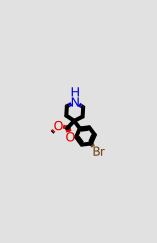 COC(=O)C1(c2ccc(Br)cc2)CCNCC1